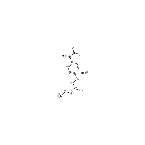 CN(C)C(=O)c1ccc(OC/C(F)=C\CN)cc1.Cl